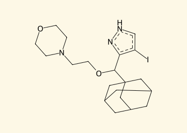 Ic1c[nH]nc1C(OCCN1CCOCC1)C12CC3CC(CC(C3)C1)C2